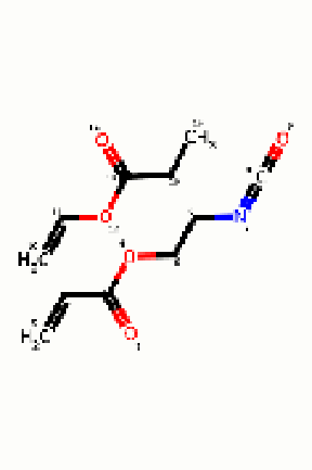 C=CC(=O)OCCN=C=O.C=COC(=O)CC